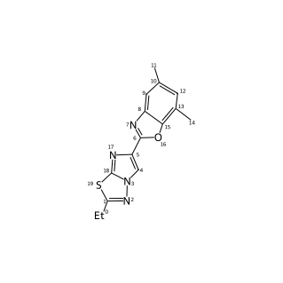 CCc1nn2cc(-c3nc4cc(C)cc(C)c4o3)nc2s1